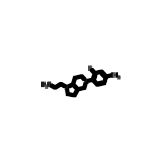 CCCN1CCC2CN(c3ccc(C)cc3F)CCC21